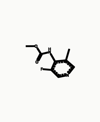 COC(=O)Nc1c(C)cncc1F